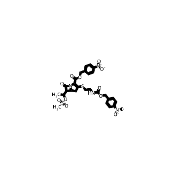 CC(OS(C)(=O)=O)C1C(=O)N2C(C(=O)OCc3ccc([N+](=O)[O-])cc3)=C(SCCNC(=O)OCc3ccc([N+](=O)[O-])cc3)CC12